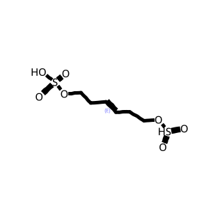 O=[SH](=O)OCC/C=C/CCOS(=O)(=O)O